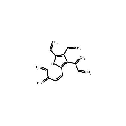 C=CC(=C)/C=C\C1=C(C(=C)C=C)C(C=C)=C(C=C)B1